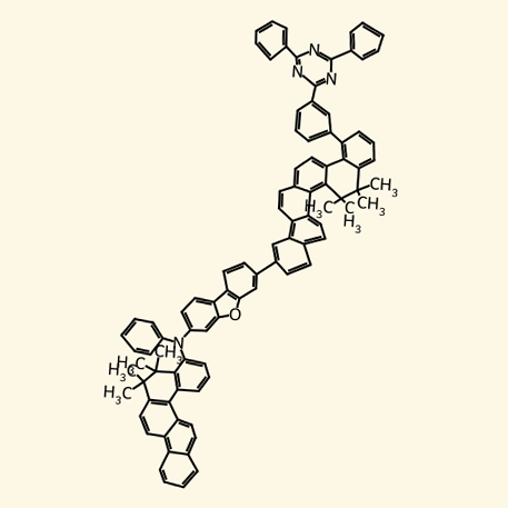 CC1(C)c2ccc3c(ccc4ccccc43)c2-c2cccc(N(c3ccccc3)c3ccc4c(c3)oc3cc(-c5ccc6ccc7c(ccc8ccc9c(c87)C(C)(C)C(C)(C)c7cccc(-c8cccc(-c%10nc(-c%11ccccc%11)nc(-c%11ccccc%11)n%10)c8)c7-9)c6c5)ccc34)c2C1(C)C